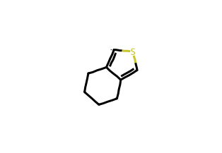 [c]1scc2c1CCCC2